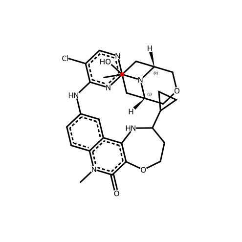 Cn1c(=O)c2c(c3cc(Nc4nc(N5[C@@H]6COC[C@H]5CC(C)(O)C6)ncc4Cl)ccc31)NC(C1CC1)CCO2